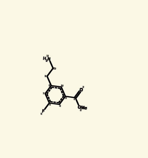 COC(=O)c1cc(F)cc(CCN)c1